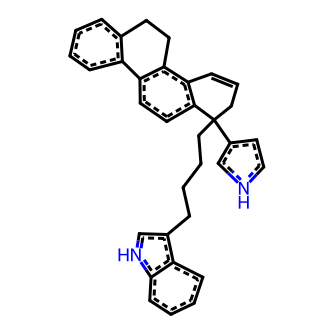 C1=Cc2c(ccc3c2CCc2ccccc2-3)C(CCCCc2c[nH]c3ccccc23)(c2cc[nH]c2)C1